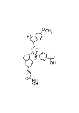 COc1ccc2c(CCN(C3CCc4cc(/C=C/C(=O)NO)ccc43)S(=O)(=O)c3ccc(C(=O)O)cc3)c[nH]c2c1